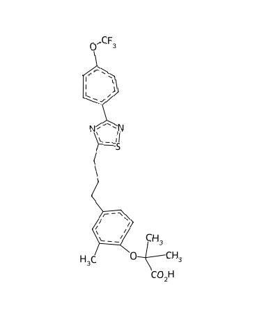 Cc1cc(CCCc2nc(-c3ccc(OC(F)(F)F)cc3)ns2)ccc1OC(C)(C)C(=O)O